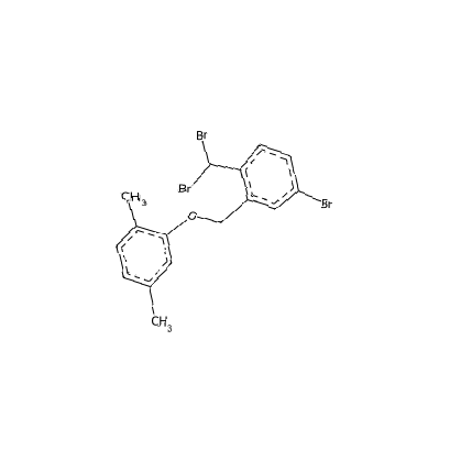 Cc1ccc(C)c(OCc2cc(Br)ccc2C(Br)Br)c1